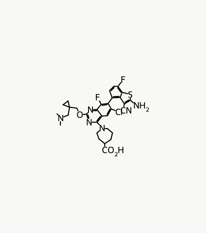 CN(C)CC1(COc2nc(N3CCCC(C(=O)O)CC3)c3cc(Cl)c(-c4ccc(F)c5sc(N)c(C#N)c45)c(F)c3n2)CC1